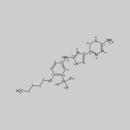 CCCCCOc1ccc(Nc2nc(C3=NN=C(N)SC3)cs2)cc1C(F)(F)F